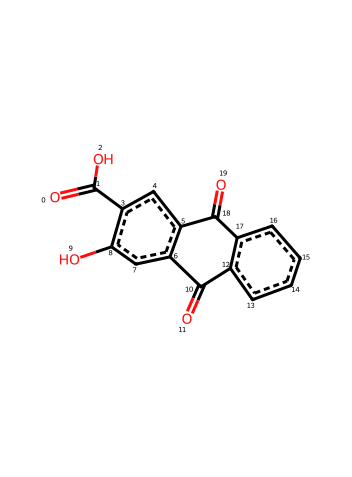 O=C(O)c1cc2c(cc1O)C(=O)c1ccccc1C2=O